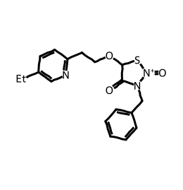 CCc1ccc(CCOC2S[N+](=O)N(Cc3ccccc3)C2=O)nc1